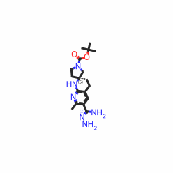 Cc1nc2c(cc1/C(N)=N/N)CC[C@@]1(CCN(C(=O)OC(C)(C)C)C1)N2